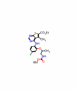 CCOC(=O)c1sc2ncnc(Nc3ccc(F)cc3OC(C)CNC(=O)OC(C)(C)C)c2c1C